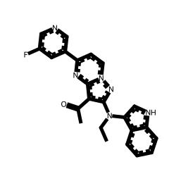 CCN(c1nn2ccc(-c3cncc(F)c3)nc2c1C(C)=O)c1c[nH]c2ccccc12